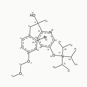 COCOc1ccc(CC(C)(O)c2ccc(O[Si](C(C)C)(C(C)C)C(C)C)cn2)c(Br)c1